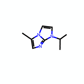 Cc1cnc2n(C(C)C)ccn12